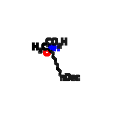 CCCCCCCCCCCCCCCCCCC(=O)NC(C)C(=O)O